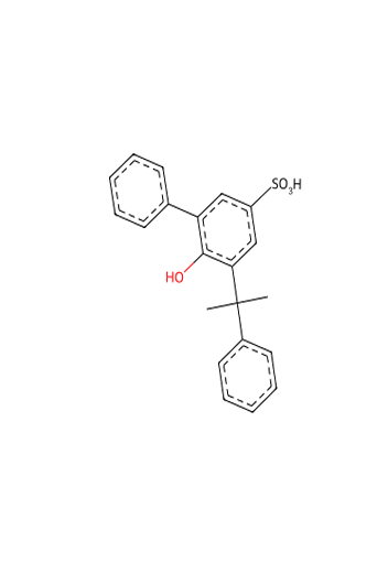 CC(C)(c1ccccc1)c1cc(S(=O)(=O)O)cc(-c2ccccc2)c1O